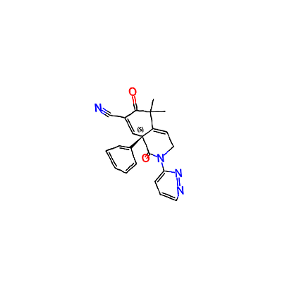 CC1(C)C(=O)C(C#N)=C[C@@]2(c3ccccc3)C(=O)N(c3cccnn3)CC=C12